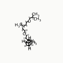 CC(C)COCCN(C)CCOCC[C@@H]1CC[C@H]2C[C@@H]1C2(C)C